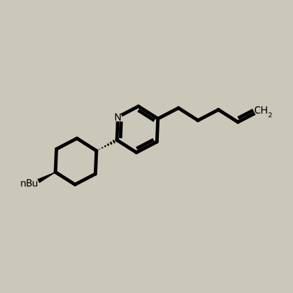 C=CCCCc1ccc([C@H]2CC[C@H](CCCC)CC2)nc1